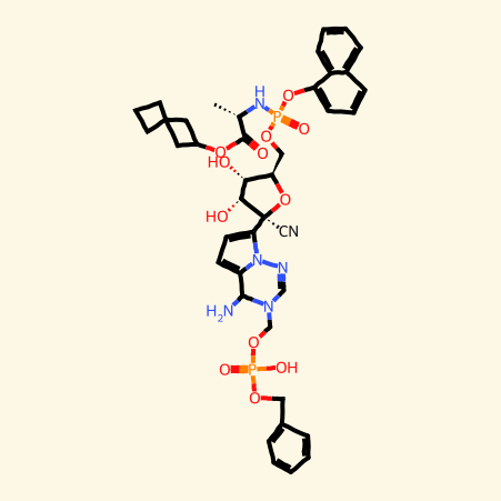 C[C@H](NP(=O)(OC[C@H]1O[C@@](C#N)(c2ccc3n2N=CN(COP(=O)(O)OCc2ccccc2)C3N)[C@H](O)[C@@H]1O)Oc1cccc2ccccc12)C(=O)OC1CC2(CCC2)C1